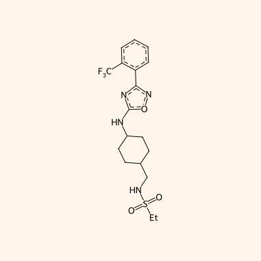 CCS(=O)(=O)NCC1CCC(Nc2nc(-c3ccccc3C(F)(F)F)no2)CC1